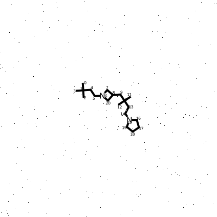 CC(C)(C)CCN1CC(CC(C)(C)CCN2CCCC2)C1